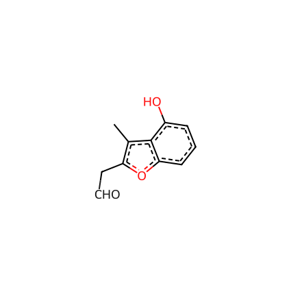 Cc1c(CC=O)oc2cccc(O)c12